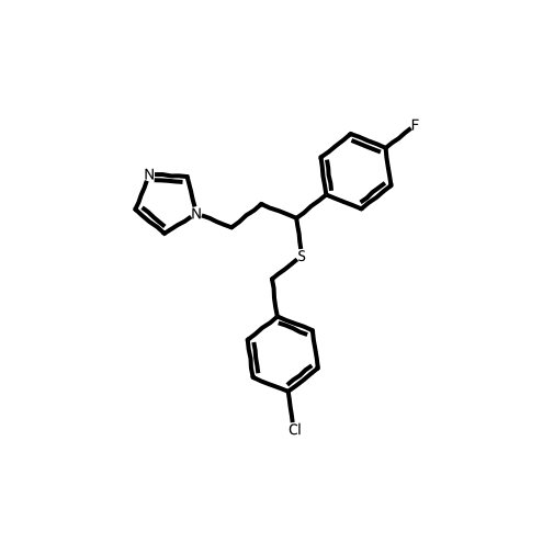 Fc1ccc(C(CCn2ccnc2)SCc2ccc(Cl)cc2)cc1